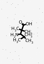 CC(C)(C)C(N)C(C)(C)C(=O)O